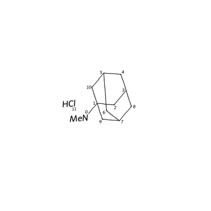 CNC12CC3CC(CC(C3)C1)C2.Cl